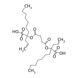 C=CCC(CCCCCCC)(OC(=O)CCC(=O)OC(CC=C)(CCCCCCC)S(=O)(=O)O)S(=O)(=O)O